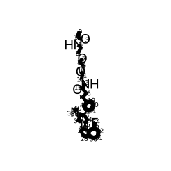 C=CC(=O)NCCOCCOCCNC(=O)CCc1cccc([C@H]2CN([C@H]3CCc4cccc(F)c43)C[C@@H]2N(C)C)c1